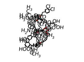 CN[C@H](CC(C)C)C(=O)N[C@H]1C(=O)N[C@@H](CC(N)=O)C(=O)N[C@H]2C(=O)N[C@H]3C(=O)N[C@H](C(=O)N[C@@H](C(=O)NOC)c4cc(O)cc(O)c4-c4cc3ccc4O)[C@H](O)c3ccc(c(Cl)c3)Oc3cc2cc(c3O[C@@H]2O[C@H](CO)[C@@H](O)[C@H](O)[C@H]2O[C@H]2C[C@](C)(NCCN3CCN(NC(=O)Cc4ccc(Cl)c(Cl)c4)CC3)[C@H](O)[C@H](C)O2)Oc2ccc(cc2Cl)[C@H]1O